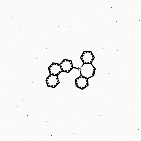 C1=Cc2ccccc2N(c2ccc3ccc4ccccc4c3c2)c2ccccc21